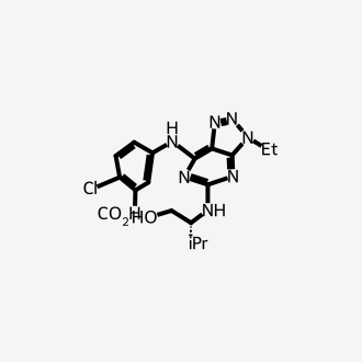 CCn1nnc2c(Nc3ccc(Cl)c(C(=O)O)c3)nc(N[C@@H](CO)C(C)C)nc21